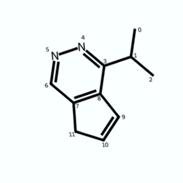 CC(C)c1nncc2c1C=CC2